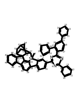 C[Si]12c3cc(-c4nc(-c5ccccc5)nc(-c5ccc(-c6ccccc6)cc5-c5ccccc5)n4)ccc3-c3ccc4c(c31)C1(c3ccccc3-4)C3CC4CC(C3)C2C1C4